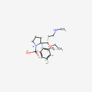 CCO[C@@H](CCNC)[C@]1(c2ccc(F)cc2C)CCCN1C(=O)O